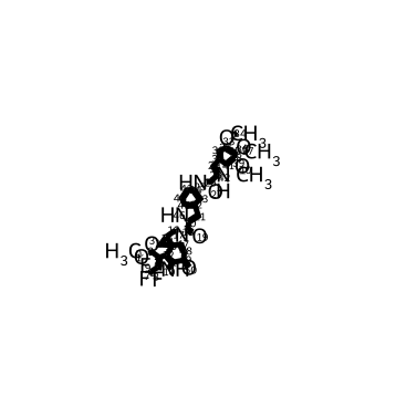 COC(=O)c1c(C(F)(F)F)[nH]c2c1C13CC1CN(C(=O)c1cc4cc(NC(=O)c5cc6cc(OC)c(OC)c(OC)c6[nH]5)ccc4[nH]1)C3=CC2=O